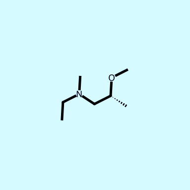 CCN(C)C[C@@H](C)OC